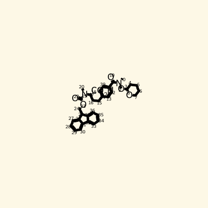 CN(OC1CCCCO1)C(=O)c1ccc(CCC(C(=O)O)N(C)C(=O)OCC2c3ccccc3-c3ccccc32)cc1